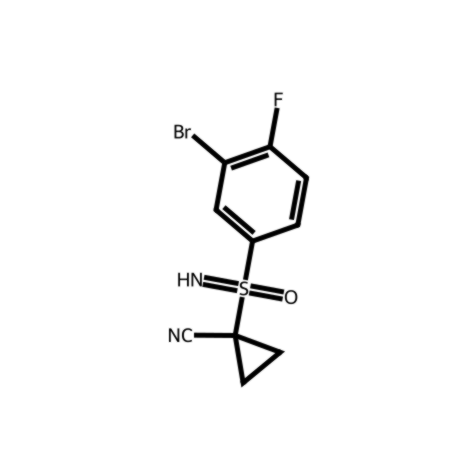 N#CC1(S(=N)(=O)c2ccc(F)c(Br)c2)CC1